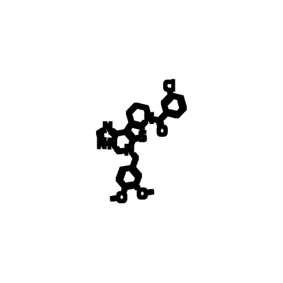 COc1ccc(CN2Cn3ncnc3-c3c2sc2c3CCCN2C(=O)c2cccc(Cl)c2)cc1OC